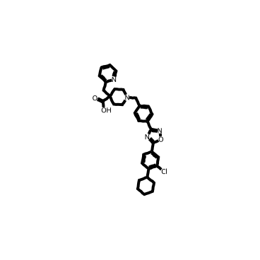 O=C(O)C1(Cc2ccccn2)CCN(Cc2ccc(-c3noc(-c4ccc(C5CCCCC5)c(Cl)c4)n3)cc2)CC1